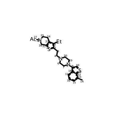 CCc1c(CCN2CCN(c3csc4c(C)cccc34)CC2)sc2c1CCN(C(C)=O)C2